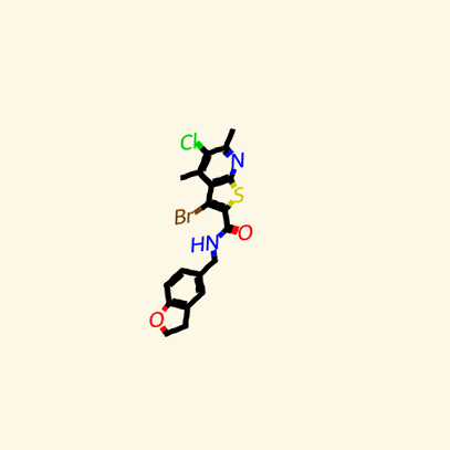 Cc1nc2sc(C(=O)NCc3ccc4c(c3)CCO4)c(Br)c2c(C)c1Cl